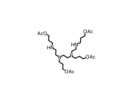 CC(=O)OCCCNCCN(CCCOC(C)=O)CCN(CCCOC(C)=O)CCNCCCOC(C)=O